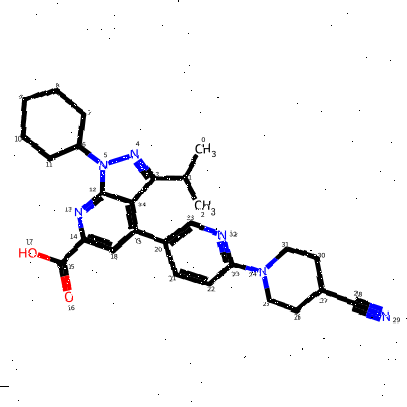 CC(C)c1nn(C2CCCCC2)c2nc(C(=O)O)cc(-c3ccc(N4CCC(C#N)CC4)nc3)c12